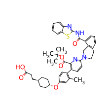 Cc1cc(O[C@H]2CC[C@H](CCC(=O)O)CC2)ccc1-c1ccc(N2CCc3cccc(C(=O)Nc4nc5ccccc5s4)c3C2)nc1C(=O)OC(C)(C)C